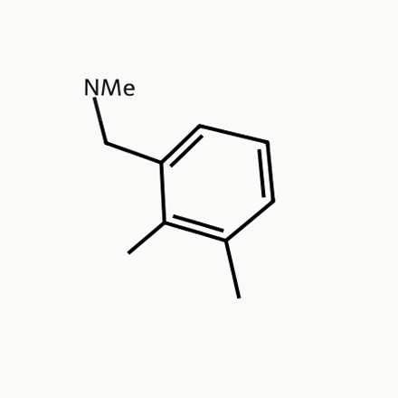 [CH2-][NH2+]Cc1cccc(C)c1C